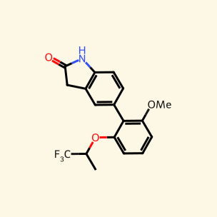 COc1cccc(OC(C)C(F)(F)F)c1-c1ccc2c(c1)CC(=O)N2